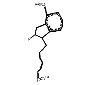 CCOC(=O)CCCCC1c2cccc(OC)c2CC1N